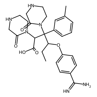 CCC(Oc1ccc(C(=N)N)cc1)C(c1cccc(C)c1)(C(C(=O)O)N1CCNCC1=O)N1CCNCC1=O